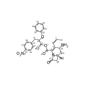 C/C=C\C1=C(C(=O)OC(=O)C(Cc2ccc([N+](=O)[O-])cc2)Oc2ccccc2)N2C(=O)C[C@H]2SC1N